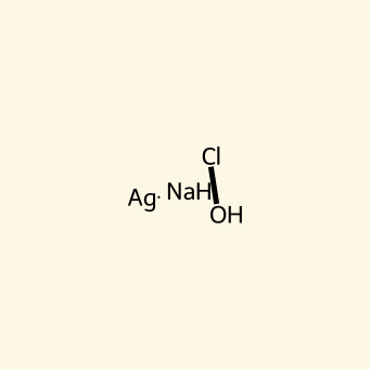 OCl.[Ag].[NaH]